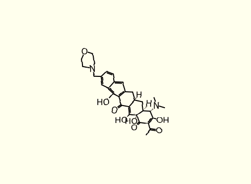 CC(=O)C1=C(O)[C@@H](N(C)C)[C@@H]2C[C@@H]3Cc4cc5ccc(CN6CCOCC6)cc5c(O)c4C(=O)C3=C(O)[C@]2(O)C1=O